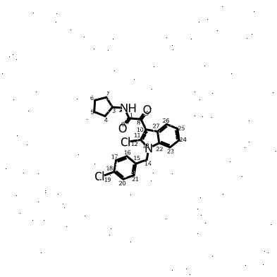 O=C(NC1CCCC1)C(=O)c1c(Cl)n(Cc2ccc(Cl)cc2)c2ccccc12